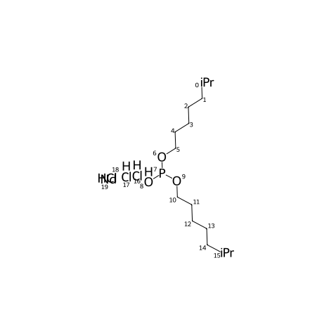 CC(C)CCCCCOP(O)OCCCCCC(C)C.Cl.Cl.Cl.[Nd]